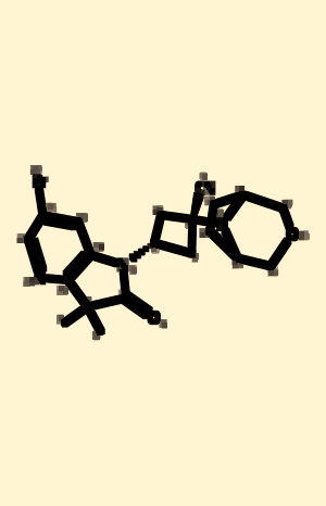 CC1(C)C(=O)N([C@H]2C[C@@](C#N)(N3C4CCC3COC4)C2)c2cc(Br)cnc21